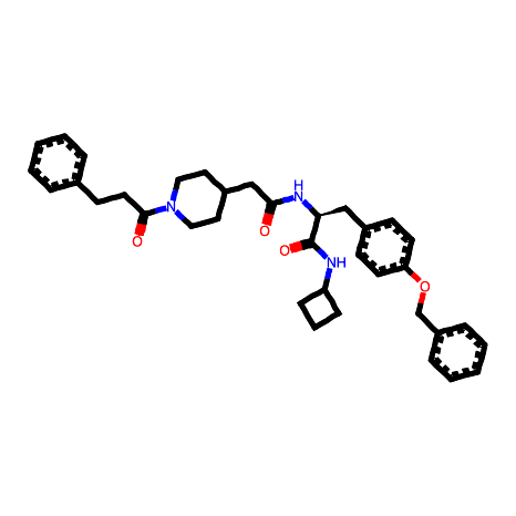 O=C(CC1CCN(C(=O)CCc2ccccc2)CC1)N[C@@H](Cc1ccc(OCc2ccccc2)cc1)C(=O)NC1CCC1